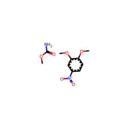 COC(N)=O.COc1ccc([N+](=O)[O-])cc1OC